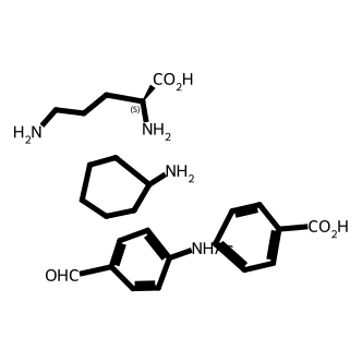 CC(=O)Nc1ccc(C=O)cc1.NC1CCCCC1.NCCC[C@H](N)C(=O)O.O=C(O)c1ccccc1